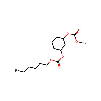 CC(C)CCCCCOC(=O)OC1CCCC(OC(=O)OC(C)C)C1